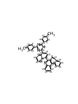 Cc1ccc(-c2nc(-c3ccc(C)cc3)nc(-c3ccc(-c4nc5ccccc5c5c4ccc4ccccc45)c4ncccc34)n2)cc1